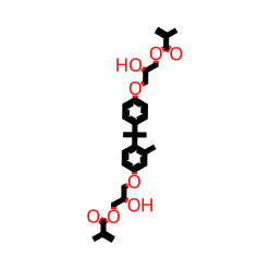 C=C(C)C(=O)OCC(O)COc1ccc(C(C)(C)c2ccc(OCC(O)COC(=O)C(=C)C)cc2C)cc1